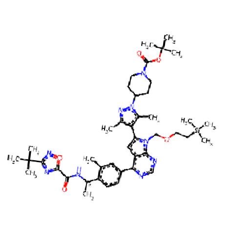 Cc1cc(-c2ncnc3c2cc(-c2c(C)nn(C4CCN(C(=O)OC(C)(C)C)CC4)c2C)n3COCC[Si](C)(C)C)ccc1[C@@H](C)NC(=O)c1nc(C(C)(C)C)no1